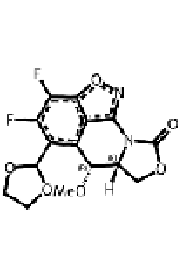 CO[C@@H]1c2c(C3OCCO3)c(F)c(F)c3onc(c23)N2C(=O)OC[C@H]12